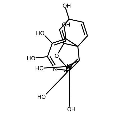 OC1=Nc2c(O)c(O)c(O)c3c2C2(C=CC(O)C=C2O3)C(O)=C1O